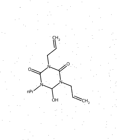 C=CCN1C(=O)N(CC=C)C(O)N(CCC)C1=O